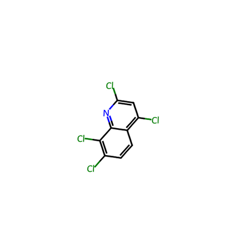 Clc1cc(Cl)c2ccc(Cl)c(Cl)c2n1